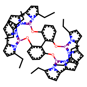 CCc1ccc2c3ccc(CC)n3p(Oc3cccc(Op4n5c(CC)ccc5c5ccc(CC)n54)c3-c3c(Op4n5c(CC)ccc5c5ccc(CC)n54)cccc3Op3n4c(CC)ccc4c4ccc(CC)n43)n12